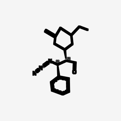 C=C1CC(CC)CC([C@H](C=O)[C@H](N=[N+]=[N-])c2ccccc2)C1